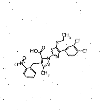 CCSc1sc(-n2nc(C)c(Cc3ccccc3[N+](=O)[O-])c2C(=O)O)nc1-c1ccc(Cl)c(Cl)c1